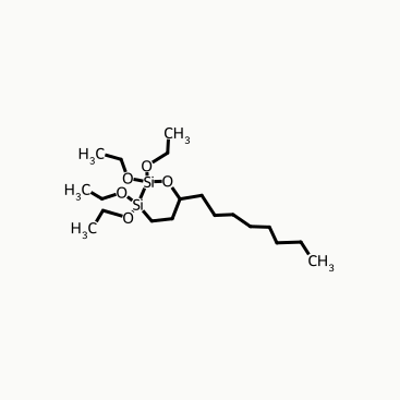 CCCCCCCCC1CC[Si](OCC)(OCC)[Si](OCC)(OCC)O1